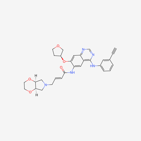 C#Cc1cccc(Nc2ncnc3cc(O[C@H]4CCOC4)c(NC(=O)C=CCN4C[C@@H]5OCCO[C@@H]5C4)cc23)c1